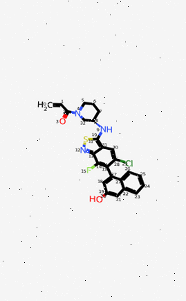 C=CC(=O)N1CCC[C@@H](Nc2snc3c(F)c(-c4cc(O)cc5ccccc45)c(Cl)cc23)C1